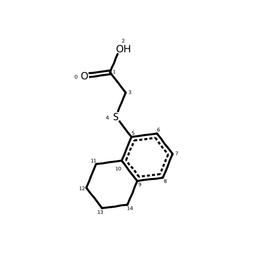 O=C(O)CSc1cccc2c1CCCC2